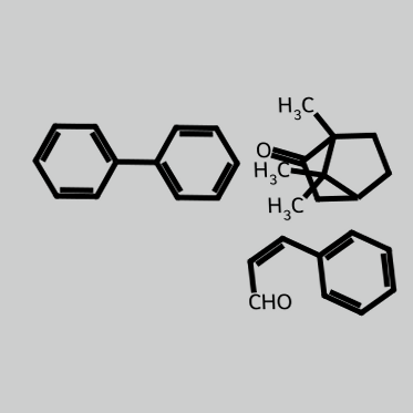 CC12CCC(CC1=O)C2(C)C.O=C/C=C\c1ccccc1.c1ccc(-c2ccccc2)cc1